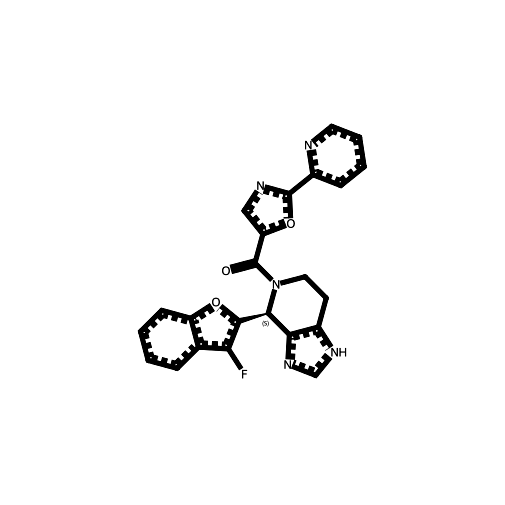 O=C(c1cnc(-c2ccccn2)o1)N1CCc2[nH]cnc2[C@H]1c1oc2ccccc2c1F